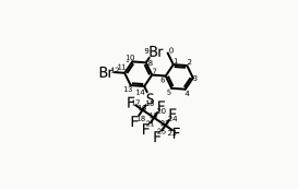 Cc1ccccc1-c1c(Br)[c]c(Br)cc1SC(F)(F)C(F)(F)C(F)(F)F